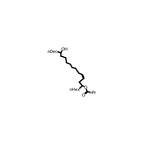 CCCCCCCCCCC(O)CCCCCCC/C=C\CC(CCCCCC)OC(=O)CCC